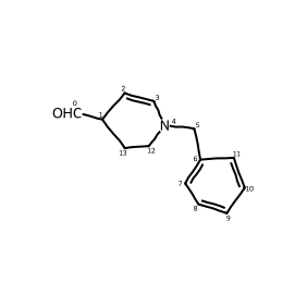 O=CC1C=CN(Cc2ccccc2)CC1